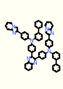 c1ccc(-c2cccc(N(c3ccc(-c4cn5ccccc5n4)cc3)c3ccc(-c4nc5ccccc5nc4-c4ccc(N(c5ccc(-c6cn7ccccc7n6)cc5)c5cccc(-c6ccccc6)c5)cc4)cc3)c2)cc1